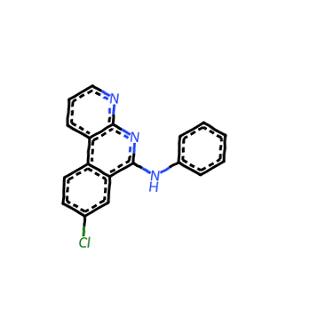 Clc1ccc2c(c1)c(Nc1ccccc1)nc1ncccc12